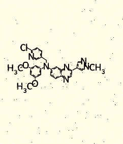 COc1cc(OC)cc(N(Cc2ccc(Cl)nc2)c2ccc3ncc(-c4cnn(C)c4)nc3c2)c1